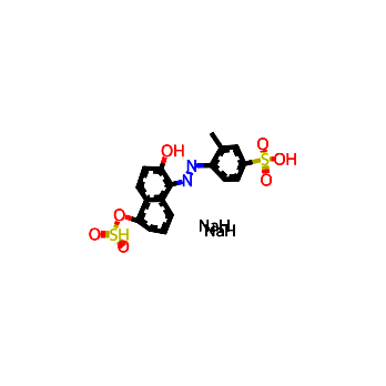 Cc1cc(S(=O)(=O)O)ccc1N=Nc1c(O)ccc2c(O[SH](=O)=O)cccc12.[NaH].[NaH]